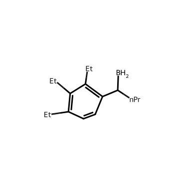 BC(CCC)c1ccc(CC)c(CC)c1CC